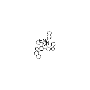 c1ccc(C2N=C(c3c(-c4ccc5oc6ccc7ccccc7c6c5c4)ccc4oc5ccccc5c34)N=C(c3ccc4ccccc4c3)N2)cc1